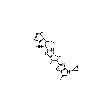 CCc1c(-c2nc3c(o2)c(C)c(-c2nc4c(o2)c(C)cn4C2CC2)n3C)[nH]c2ncoc12